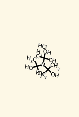 CC(C)(O)N(C(C)(C)O)C(C)(C)O.Cl